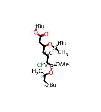 CC[C@H](C)C[C@H](C)OB(OC)[C@H](Cl)CCC(CC(=O)OC(C)(C)C)O[Si](C)(C)C(C)(C)C